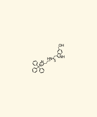 OCc1ccc2[nH]cc(CC(=S)NCCCc3cn(C(c4ccccc4)(c4ccccc4)c4ccccc4)cn3)c2c1